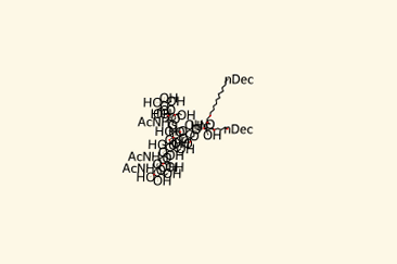 CCCCCCCCCCCCC/C=C/[C@@H](O)[C@H](CO[C@@H]1OC(CO)[C@@H](O[C@@H]2OC(CO[C@@H]3OC(CO)[C@@H](O[C@@H]4OC(CO)[C@H](O)[C@H](O)C4O)[C@H](O)C3NC(C)=O)[C@H](O)[C@H](O[C@H]3OC(CO)[C@H](O)[C@H](O[C@@H]4OC(CO)[C@H](O)[C@H](O[C@H]5OC(CO)[C@H](O)[C@H](O)C5NC(C)=O)C4NC(C)=O)C3O)C2O)[C@H](O)C1O)NC(=O)CCCCCCCCCCCCCCCCCCCCCCC